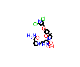 CC1(c2ccc(OCc3cc(Cl)nc(Cl)c3)cc2)CCN(C(CCCCN2C=C(CC(N)=O)C=CC2)C(=O)NO)C1=O